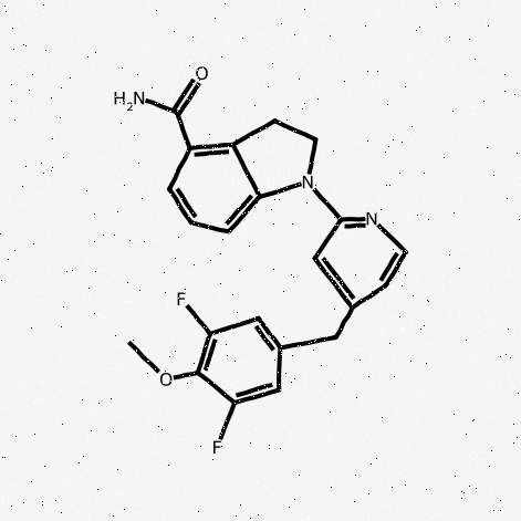 COc1c(F)cc(Cc2ccnc(N3CCc4c(C(N)=O)cccc43)c2)cc1F